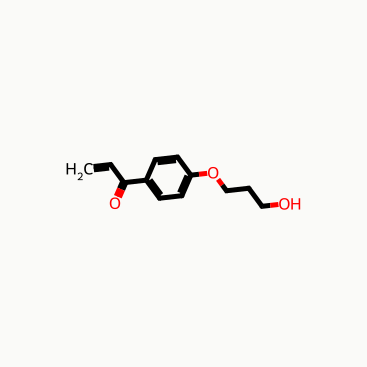 C=CC(=O)c1ccc(OCCCO)cc1